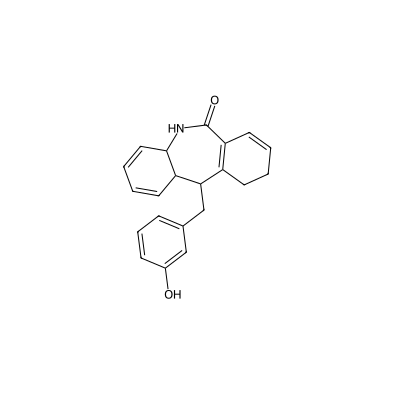 O=C1NC2C=CC=CC2C(Cc2cccc(O)c2)C2=C1C=CCC2